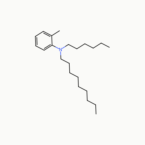 CCCCCCCCCN(CCCCCC)c1ccccc1C